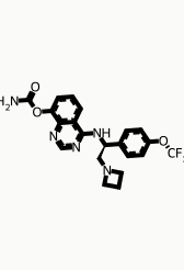 NC(=O)Oc1cccc2c(N[C@H](CN3CCC3)c3ccc(OC(F)(F)F)cc3)ncnc12